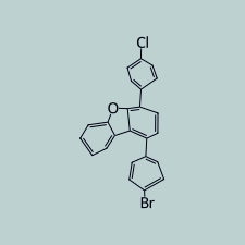 Clc1ccc(-c2ccc(-c3ccc(Br)cc3)c3c2oc2ccccc23)cc1